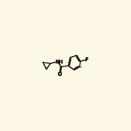 O=C(NC1CC1)c1c[c]c(F)cc1